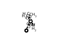 CC(C)(C)OC(=O)N1CCC(CN)(NC(=O)OCc2ccccc2)CC1